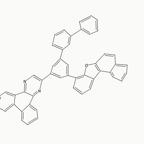 c1ccc(-c2cccc(-c3cc(-c4cnc5c6ccccc6c6ccccc6c5n4)cc(-c4cccc5c4oc4ccc6ccccc6c45)c3)c2)cc1